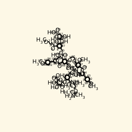 COCCNC(=O)c1cc(COC(=O)N2c3cc(OCCCOc4cc5c(cc4OC)C(=O)N4C=C(c6ccc(OC)cc6)C[C@H]4C(O)N5C(=O)OCc4ccc(OC5O[C@H](C(=O)O)[C@@H](O)[C@H](O)[C@H]5O)c(C(=O)NC(C)(C)CCOC(C)(C)N)c4)c(OC)cc3C(=O)N3C=C(c4ccc(OC)cc4)CC3C2O)ccc1O[C@@H]1O[C@H](C(=O)O)C[C@H](O)[C@H]1O